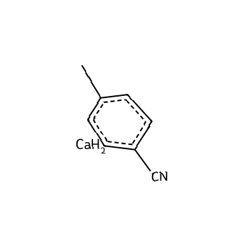 Cc1ccc(C#N)cc1.[CaH2]